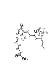 CC/C=C\C[C@@H](C/C=C1/C(=O)C=CC1(C)C/C=C\CCCC(=O)O)O[Si](C)(C)C(C)(C)C